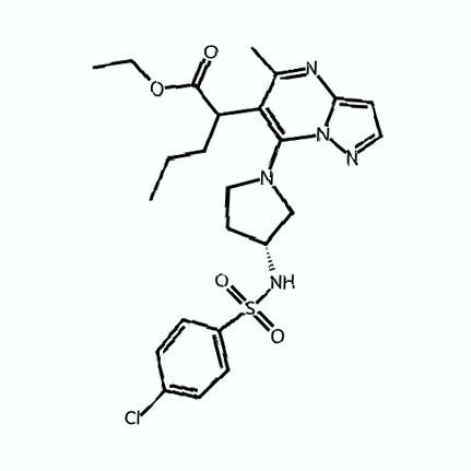 CCCC(C(=O)OCC)c1c(C)nc2ccnn2c1N1CC[C@@H](NS(=O)(=O)c2ccc(Cl)cc2)C1